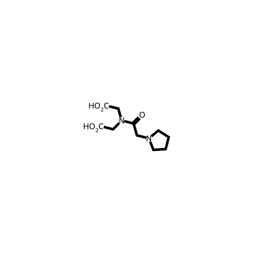 O=C(O)CN(CC(=O)O)C(=O)CN1CCCC1